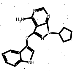 Nc1ncnc2c1c(Sc1c[nH]c3ccccc13)nn2C1CCCC1